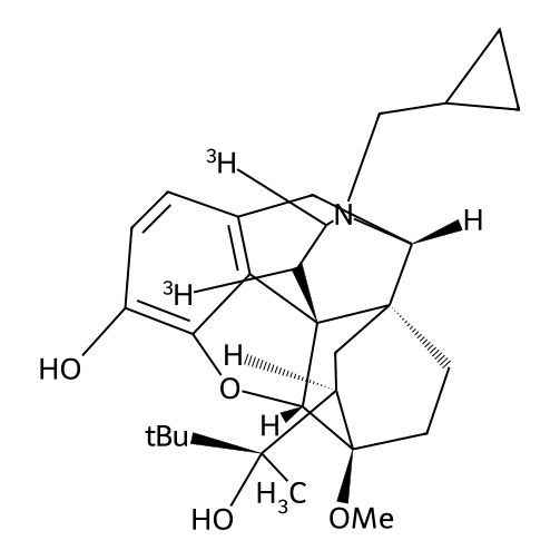 [3H]C1C([3H])[C@]23c4c5ccc(O)c4O[C@H]2[C@@]2(OC)CC[C@@]3(C[C@@H]2[C@](C)(O)C(C)(C)C)[C@@H](C5)N1CC1CC1